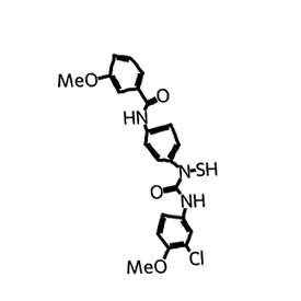 COc1cccc(C(=O)Nc2ccc(N(S)C(=O)Nc3ccc(OC)c(Cl)c3)cc2)c1